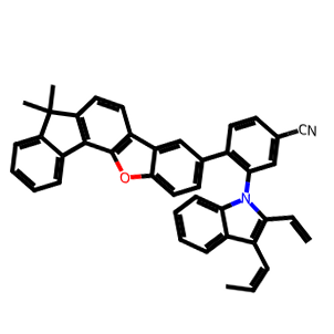 C=Cc1c(/C=C\C)c2ccccc2n1-c1cc(C#N)ccc1-c1ccc2oc3c4c(ccc3c2c1)C(C)(C)c1ccccc1-4